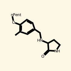 CCCCCOc1ccc(CNC2CCNC2=O)cc1C